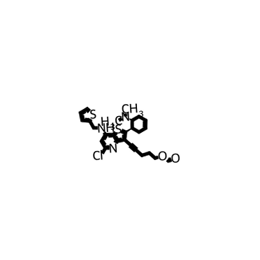 CN(C)[C@@H]1CC=CC[C@H]1c1sc2c(NCc3cccs3)cc(Cl)nc2c1C#CCCCOC=O